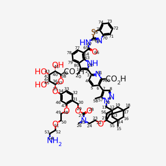 Cc1c(-c2ccc(-c3cnn(CC45CC6(C)CC(C)(C4)CC(OCCN(C)C(=O)OCc4ccc(O[C@@H]7O[C@H](C(=O)O)[C@@H](O)[C@H](O)[C@H]7O)cc4OCCOCCN)(C6)C5)c3C)c(C(=O)O)n2)[nH]c2c(C(=O)Nc3nc4ccccc4s3)cccc12